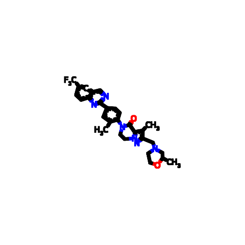 Cc1cc(-c2ncc3cc(C(F)(F)F)ccc3n2)ccc1N1CCn2nc(CN3CCOC(C)C3)c(C)c2C1=O